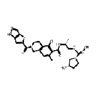 Cc1cc2c(c(Cl)c1C(=O)N[C@H](C)CN/C(=N\C#N)N1CC[C@H](O)C1)CCN(C(=O)c1cc3[nH]ncc3s1)C2